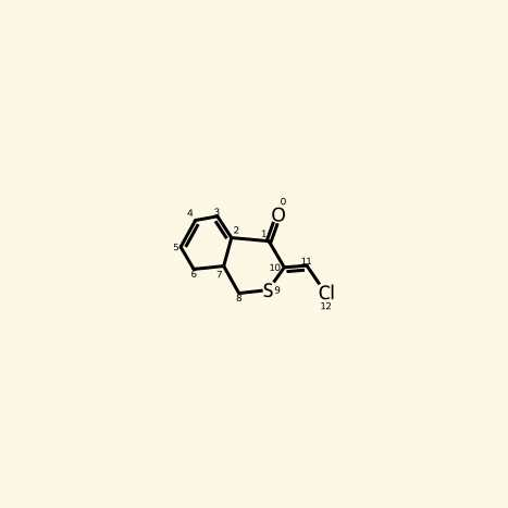 O=C1C2=CC=CCC2CS/C1=C\Cl